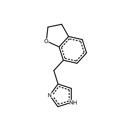 c1cc2c(c(Cc3c[nH]cn3)c1)OCC2